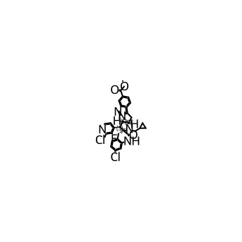 COC(=O)c1ccc2c3n(nc2c1)[C@@H]1[C@H](C3)N(CC2CC2)[C@]2(Cc3ccc(Cl)cc3NC2=O)[C@H]1c1ccnc(Cl)c1F